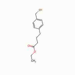 CCOC(=O)CCCc1ccc(CS)cc1